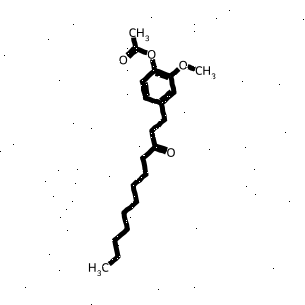 CCCCCCCCCC(=O)CCc1ccc(OC(C)=O)c(OC)c1